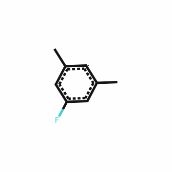 Cc1[c]c(C)cc(F)c1